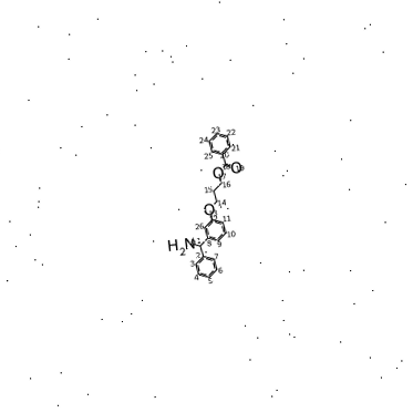 NC(c1ccccc1)c1cccc(OCCCOC(=O)c2ccccc2)c1